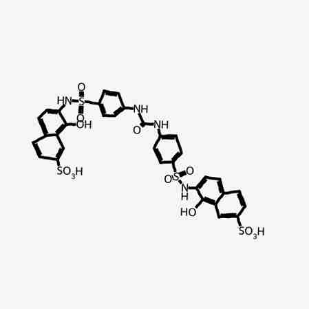 O=C(Nc1ccc(S(=O)(=O)Nc2ccc3ccc(S(=O)(=O)O)cc3c2O)cc1)Nc1ccc(S(=O)(=O)Nc2ccc3ccc(S(=O)(=O)O)cc3c2O)cc1